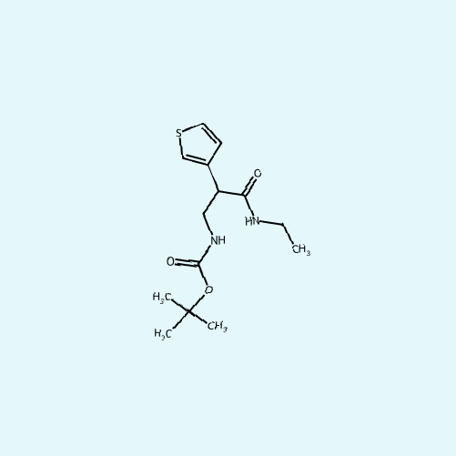 CCNC(=O)C(CNC(=O)OC(C)(C)C)c1ccsc1